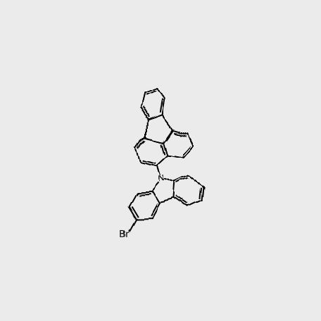 Brc1ccc2c(c1)c1ccccc1n2-c1ccc2c3c(cccc13)-c1ccccc1-2